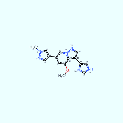 COc1cc(-c2cnn(C)c2)cn2ncc(-c3c[nH]cn3)c12